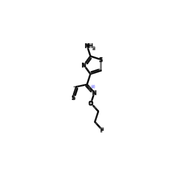 Nc1nc(/C([C]=S)=N/OCCF)cs1